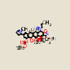 C=CCN[C@@H]1c2onc(OCCCC)c2C(=O)[C@@]2(O[Si](C)(C)C(C)(C)C)C(O)=C3C(=O)c4c(cc(C5CCCN5C)cc4OC(=O)OC(C)(C)C)C[C@H]3C[C@@H]12